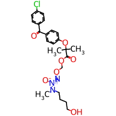 CN(CCCCO)/[N+]([O-])=N/OCOC(=O)C(C)(C)Oc1ccc(C(=O)c2ccc(Cl)cc2)cc1